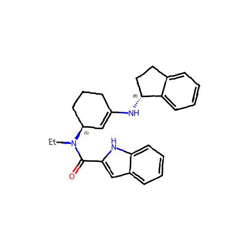 CCN(C(=O)c1cc2ccccc2[nH]1)[C@@H]1C=C(N[C@@H]2CCc3ccccc32)CCC1